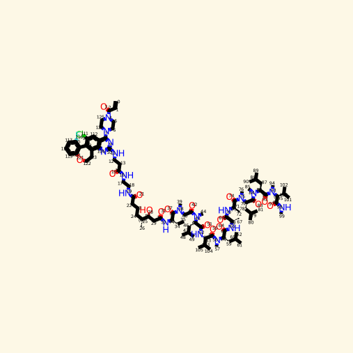 C=CC(=O)N1CCN(c2nc(NCCC(=O)NCCNC(=O)CCC[C@@H](C)[C@@H](O)CC(=O)N[C@@H](CC)C(=O)N(C)CC(=O)N(C)[C@@H](CC(C)C)C(=O)N[C@H](C(=O)N(C)[C@@H](CC(C)C)C(=O)N[C@@H](C)C(=O)N[C@H](C)C(=O)N(C)[C@@H](CC(C)C)C(=O)N(C)[C@@H](CC(C)C)C(=O)N(C)[C@H](C(=O)NC)C(C)C)C(C)C)nc3c4c(c(Cl)cc23)-c2c(F)cccc2OCC4)CC1